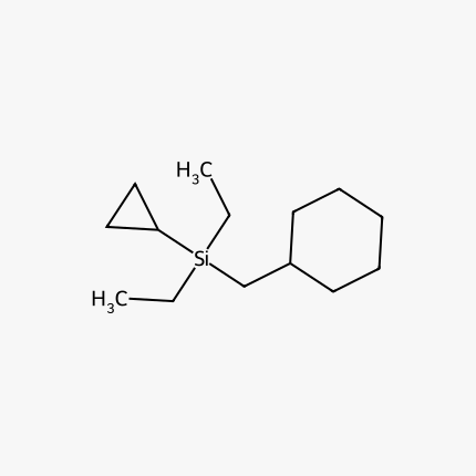 CC[Si](CC)(CC1CCCCC1)C1CC1